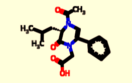 CC(=O)N1C=C(c2ccccc2)N(CC(=O)O)C(=O)[C@@H]1CC(C)C